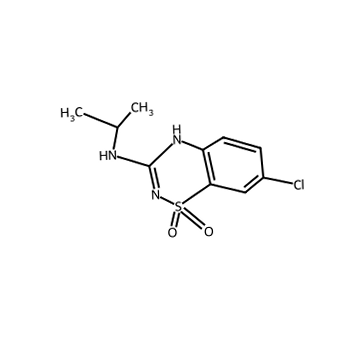 CC(C)NC1=NS(=O)(=O)c2cc(Cl)ccc2N1